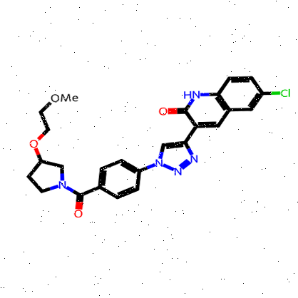 COCCOC1CCN(C(=O)c2ccc(-n3cc(-c4cc5cc(Cl)ccc5[nH]c4=O)nn3)cc2)C1